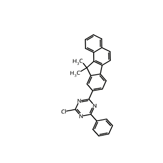 CC1(C)c2cc(-c3nc(Cl)nc(-c4ccccc4)n3)ccc2-c2ccc3ccccc3c21